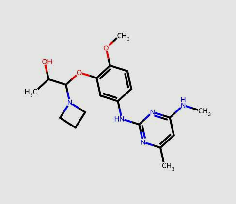 CNc1cc(C)nc(Nc2ccc(OC)c(OC(C(C)O)N3CCC3)c2)n1